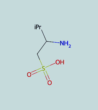 CC(C)C(N)CS(=O)(=O)O